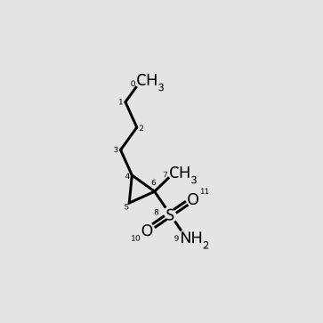 CCCCC1CC1(C)S(N)(=O)=O